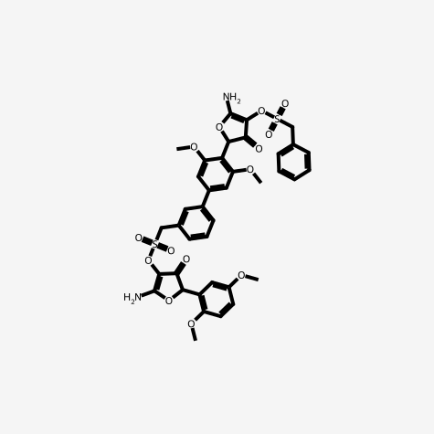 COc1ccc(OC)c(C2OC(N)=C(OS(=O)(=O)Cc3cccc(-c4cc(OC)c(C5OC(N)=C(OS(=O)(=O)Cc6ccccc6)C5=O)c(OC)c4)c3)C2=O)c1